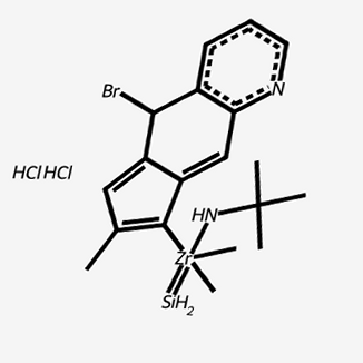 CC1=[C]([Zr]([CH3])([CH3])(=[SiH2])[NH]C(C)(C)C)C2=Cc3ncccc3C(Br)C2=C1.Cl.Cl